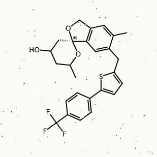 Cc1cc2c(cc1Cc1ccc(-c3ccc(C(F)(F)F)cc3)s1)[C@]1(CC(O)CC(C)O1)OC2